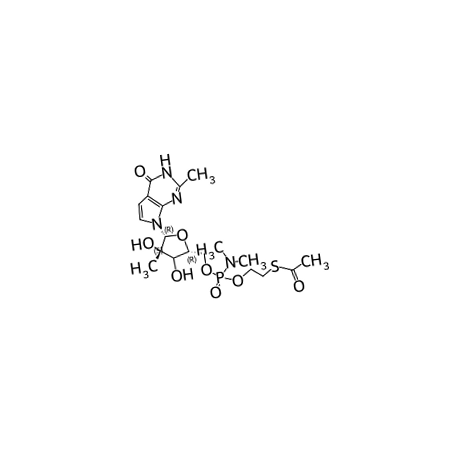 CC(=O)SCCOP(=O)(OC[C@H]1O[C@@H](n2ccc3c(=O)[nH]c(C)nc32)[C@@](C)(O)C1O)N(C)C